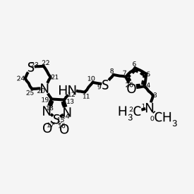 CN(C)Cc1ccc(CSCCNC2=NS(=O)(=O)N=C2N2CCSCC2)o1